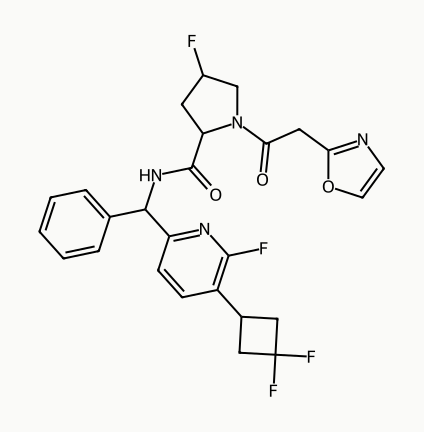 O=C(NC(c1ccccc1)c1ccc(C2CC(F)(F)C2)c(F)n1)C1CC(F)CN1C(=O)Cc1ncco1